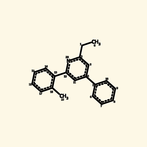 CCc1cc(-c2ccccc2)cc(-c2ccccc2C)n1